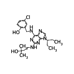 CCC(CC)n1cnc2c(NCc3cc(Cl)ccc3O)nc(NCCC(C)(C)O)nc21